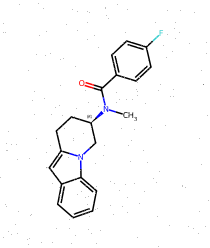 CN(C(=O)c1ccc(F)cc1)[C@@H]1CCc2[c]c3ccccc3n2C1